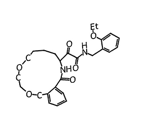 CCOc1ccccc1CNC(=O)C(=O)C1CCCCOCCOCc2ccccc2C(=O)N1